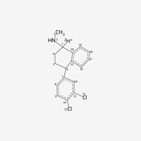 [2H]C1(NC)CCC(c2ccc(Cl)c(Cl)c2)c2ccccc21